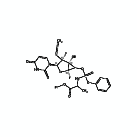 C=C=C[C@]1(F)[C@H](n2ccc(=O)[nH]c2=O)O[C@]2(F)C(OP(=O)(NC(C)C(=O)OC(C)C)Oc3ccccc3)[C@@]21O